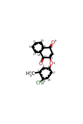 Cc1cc(OC2=CC(=O)c3ccccc3C2=O)ccc1Cl